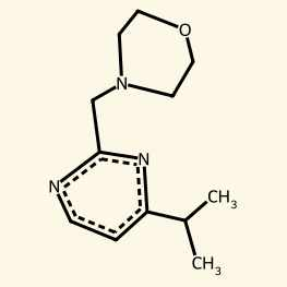 CC(C)c1ccnc(CN2CCOCC2)n1